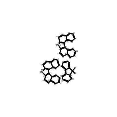 CC1(C)c2ccccc2-c2ccccc21.c1ccc2c(c1)ccc1[nH]c3ccc4ccccc4c3c12.c1ccc2c(c1)ccc1[nH]c3ccc4ccccc4c3c12